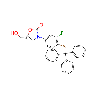 O=C1O[C@@H](CO)CN1c1ccc(SC(c2ccccc2)(c2ccccc2)c2ccccc2)c(F)c1